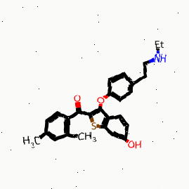 CCNCCc1ccc(Oc2c(C(=O)c3ccc(C)cc3C)sc3cc(O)ccc23)cc1